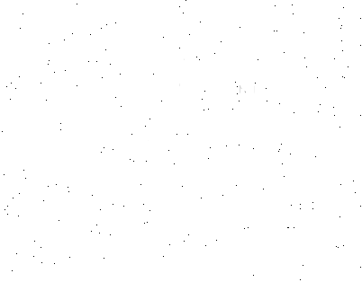 C=C/C=C\C(F)=C(/CCC)Oc1ccc(F)c(CS(=O)(=O)C(C)(C)C(=N)CCC)c1